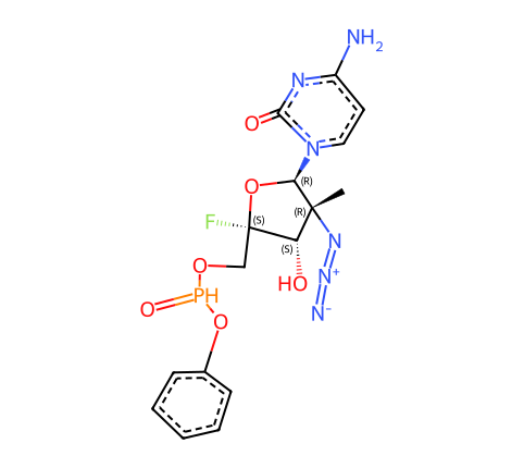 C[C@]1(N=[N+]=[N-])[C@H](n2ccc(N)nc2=O)O[C@](F)(CO[PH](=O)Oc2ccccc2)[C@H]1O